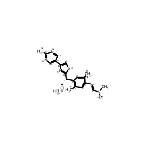 CCN(C)C=Nc1cc(C)c(Cc2nc(-c3cnc(C)nc3)cs2)cc1C.Cl.Cl